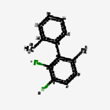 CCc1ccc(F)c(F)c1-c1ccccc1C